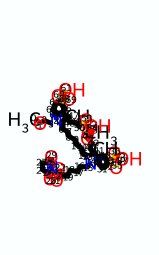 COCCN1/C(=C/C=C/C=C/C=C/C2=[N+](CCCCCC(=O)ON3C(=O)CCC3=O)c3ccc(S(=O)(=O)O)cc3C2(C)CCOC)C(C)(CCCS(=O)(=O)O)c2cc(S(=O)(=O)O)ccc21